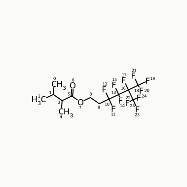 CC(C)C(C)C(=O)OCCC(F)(F)C(F)(F)C(F)(C(F)(F)F)C(F)(F)F